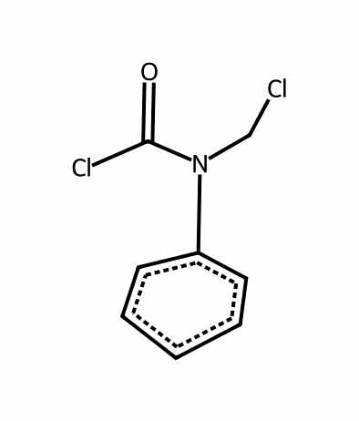 O=C(Cl)N(CCl)c1ccccc1